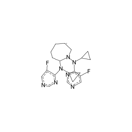 Fc1cncnc1N(C1CC1)C1CCC[CH]CN1N(c1ncncc1F)C1CC1